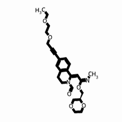 CCOCCOCC#Cc1ccc2c(c1)CCN(C=O)/C2=C\C(=N/C)OC[C@@H]1COCCO1